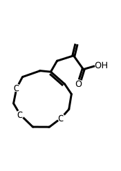 C=C(CC1=CCCCCCCCCCC1)C(=O)O